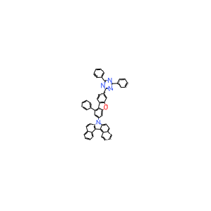 c1ccc(-c2nc(-c3ccccc3)nc(-c3ccc4c(c3)oc3cc(-n5c6ccc7ccccc7c6c6c7ccccc7ccc65)cc(-c5ccccc5)c34)n2)cc1